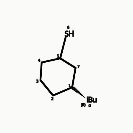 CC[C@@H](C)C1CCCC(S)C1